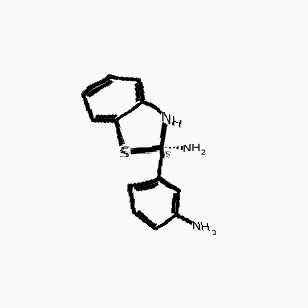 Nc1cccc([C@]2(N)Nc3ccccc3S2)c1